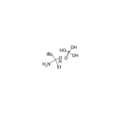 CCC(C)C(N)(O)CC.O=P(O)(O)O